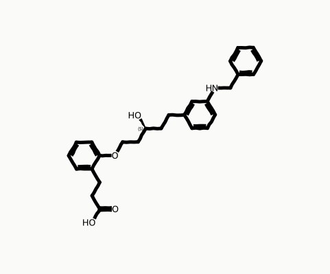 O=C(O)CCc1ccccc1OCC[C@@H](O)CCc1cccc(NCc2ccccc2)c1